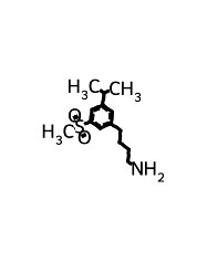 CC(C)c1cc(CCCCN)cc(S(C)(=O)=O)c1